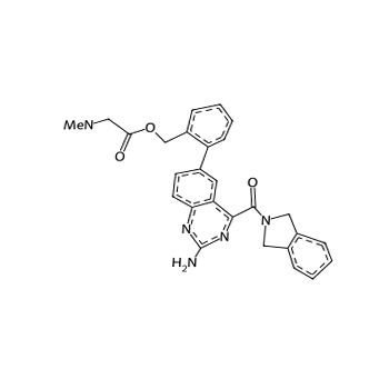 CNCC(=O)OCc1ccccc1-c1ccc2nc(N)nc(C(=O)N3Cc4ccccc4C3)c2c1